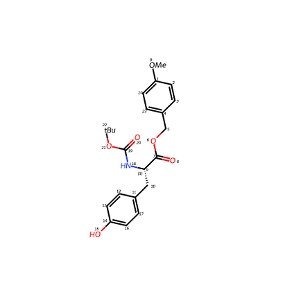 COc1ccc(COC(=O)[C@H](Cc2ccc(O)cc2)NC(=O)OC(C)(C)C)cc1